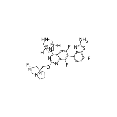 Nc1nc2c(-c3c(F)cc4c(N5[C@@H]6CC[C@H]5CNC6)nc(OC[C@@]56CCCN5C[C@H](F)C6)nc4c3F)ccc(F)c2s1